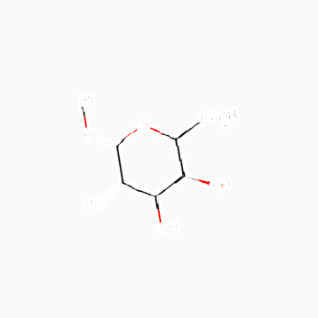 CC(C)O[C@@H]1OC(C(=O)O)[C@@H](O)C(O)[C@@H]1O